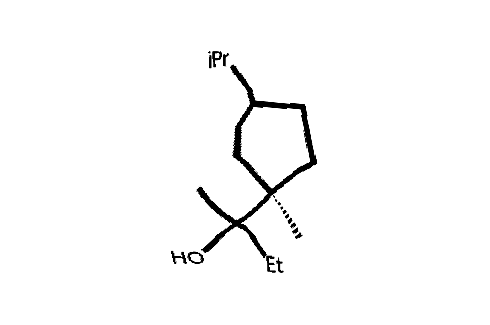 CCC(C)(O)[C@]1(C)CCC(C(C)C)C1